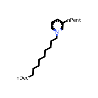 CCCCCCCCCCCCCCCCCCC[n+]1cccc(CCCCC)c1